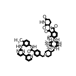 [2H]C1([2H])N(CC2CCN(Cc3ccc(C(=O)Nc4ccc(C)c(Nc5nccc(-c6cccnc6)n5)c4)cc3)CC2)C([2H])([2H])C([2H])([2H])N(c2ccc3c(c2F)C(=O)N(C2CCC(=O)NC2=O)C3=O)C1([2H])[2H]